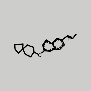 C/C=C/c1ccc2cc(OC3CCC4(CCCC4)CC3)ccc2c1